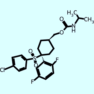 CC(C)NC(=O)OC[C@H]1CC[C@@](c2cc(F)ccc2F)(S(=O)(=O)c2ccc(Cl)cc2)CC1